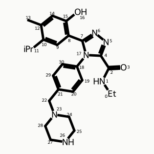 CCNC(=O)c1nnc(-c2cc(C(C)C)c(C)cc2O)n1-c1ccc(CN2CCNCC2)cc1